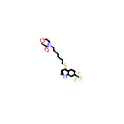 O=C1COCCN1CCCCCCSc1ccnc2cc(C(F)(F)F)ccc12